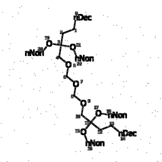 CCCCCCCCCCCCC(COCOCOCC(CCCCCCCCCCCC)(OCCCCCCCCC)OCCCCCCCCC)(OCCCCCCCCC)OCCCCCCCCC